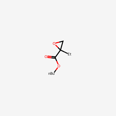 CCCCOC(=O)C1(CC)CO1